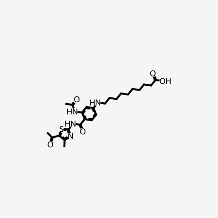 CC(=O)Nc1cc(NCCCCCCCCCC(=O)O)ccc1C(=O)Nc1nc(C)c(C(C)=O)s1